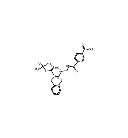 CC(C)(C)OC(=O)N1Cc2ccccc2C[C@H]1[C@H](O)CNC(=O)c1ccc(C(=O)O)cc1